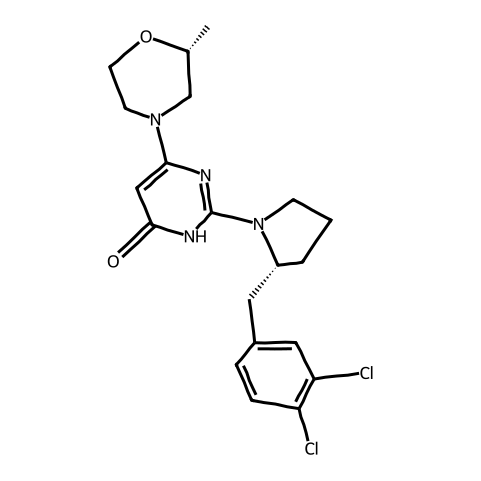 C[C@@H]1CN(c2cc(=O)[nH]c(N3CCC[C@@H]3Cc3ccc(Cl)c(Cl)c3)n2)CCO1